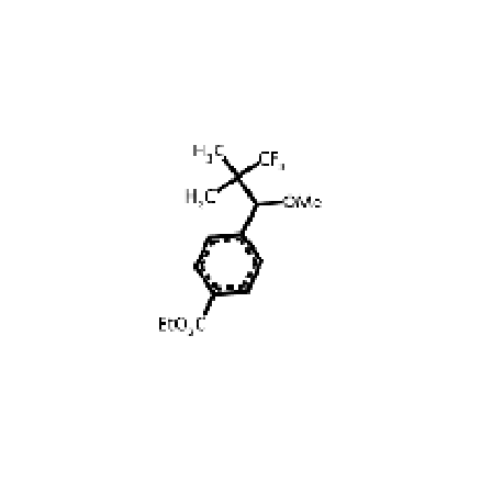 CCOC(=O)c1ccc(C(OC)C(C)(C)C(F)(F)F)cc1